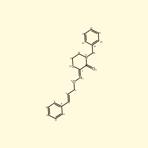 O=C1C(=NOCC=Cc2ccccc2)SCCN1Cc1ccccc1